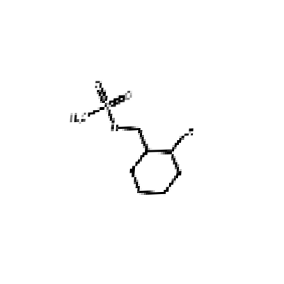 CCC1CCCCC1COS(C)(=O)=O